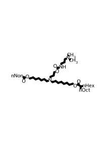 CCCCCCCCCC(=O)OCCCCCCCN(CCCCCCCCOC(=O)C(CCCCCC)CCCCCCCC)CCCOC(=O)NCCCN(C)C